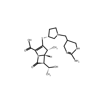 C[C@@H](O)[C@H]1C(=O)N2C(C(=O)O)=C(S[C@@H]3CCN(CC4CN=C(N)NC4)C3)[C@H](C)[C@H]12